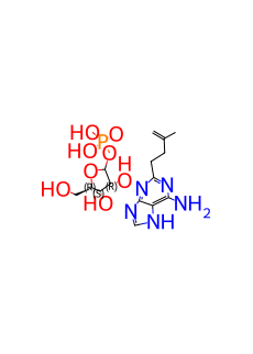 C=C(C)CCc1nc(N)c2[nH]cnc2n1.O=P(O)(O)OC1O[C@H](CO)[C@@H](O)[C@H]1O